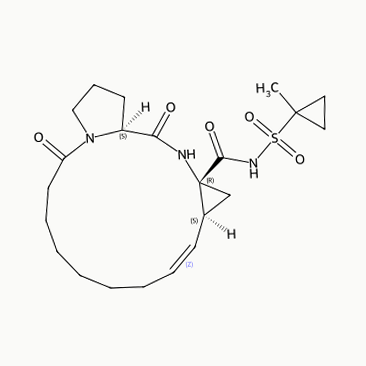 CC1(S(=O)(=O)NC(=O)[C@@]23C[C@H]2/C=C\CCCCCCC(=O)N2CCC[C@H]2C(=O)N3)CC1